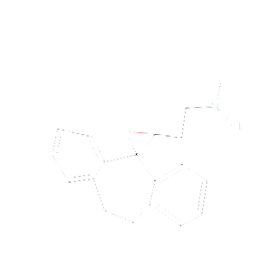 CN(C)CCC1OC12c1ccccc1CCc1ccccc12